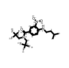 CC(C)CCNc1ccc(C(=O)N(CC(F)(F)F)CC(F)(F)F)cc1[N+](=O)[O-]